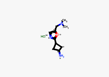 CN(C)Cc1cnc(C2CC(N)C2)o1.Cl